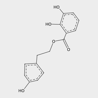 O=C(OCCc1ccc(O)cc1)c1cccc(O)c1O